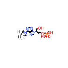 CCN(C)c1ncnc2c1ncn2C(CO)CCOCP(=O)(O)O